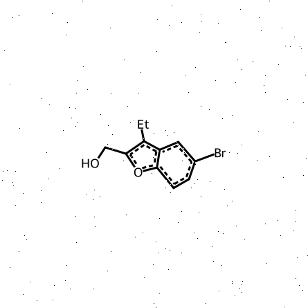 CCc1c(CO)oc2ccc(Br)cc12